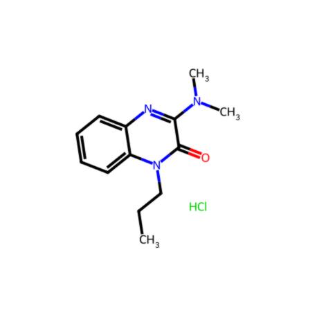 CCCn1c(=O)c(N(C)C)nc2ccccc21.Cl